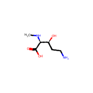 CN[C@H](C(=O)O)[C@@H](O)CCN